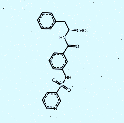 O=C[C@H](Cc1ccccc1)NC(=O)c1cccc(NS(=O)(=O)c2cccnc2)c1